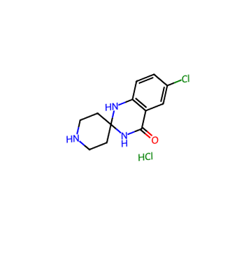 Cl.O=C1NC2(CCNCC2)Nc2ccc(Cl)cc21